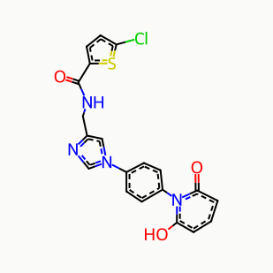 O=C(NCc1cn(-c2ccc(-n3c(O)cccc3=O)cc2)cn1)c1ccc(Cl)s1